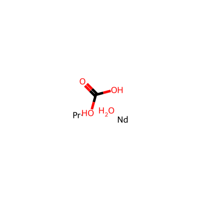 O.O=C(O)O.[Nd].[Pr]